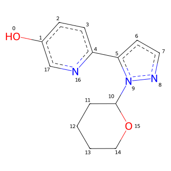 Oc1ccc(-c2ccnn2C2CCCCO2)nc1